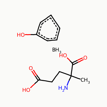 B.CC(N)(CCC(=O)O)C(=O)O.Oc1ccccc1